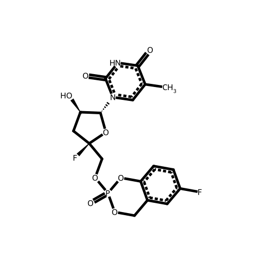 Cc1cn([C@@H]2O[C@](F)(COP3(=O)OCc4cc(F)ccc4O3)C[C@H]2O)c(=O)[nH]c1=O